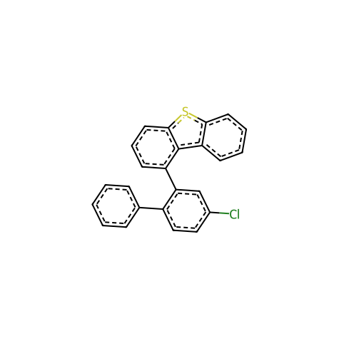 Clc1ccc(-c2ccccc2)c(-c2cccc3sc4ccccc4c23)c1